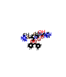 Cn1nnnc1SCC1=C(C(=O)OC(c2ccccc2)c2ccccc2)N2C(=O)C(N(O)C(=O)Cn3cnnn3)[C@H]2SC1